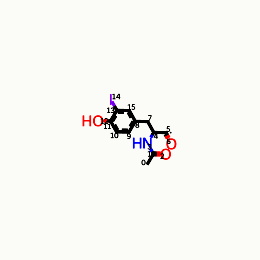 CC(=O)NC([C]=O)Cc1ccc(O)c(I)c1